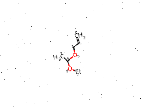 C=CCOC(C)OCC